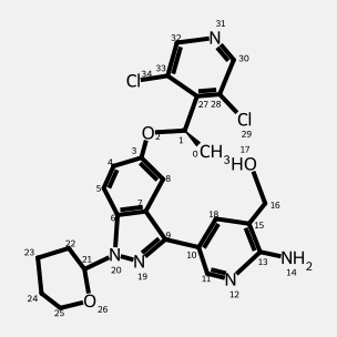 C[C@@H](Oc1ccc2c(c1)c(-c1cnc(N)c(CO)c1)nn2C1CCCCO1)c1c(Cl)cncc1Cl